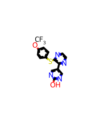 Oc1ncc(-c2nccnc2Sc2ccc(OC(F)(F)F)cc2)cn1